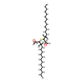 CCCCCCCCCCCCCC(C)(C)C(SC(C1CO1)C(C)(C)CCCCCCCCCCCCC)C1CO1